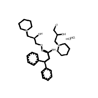 Cl.Cl.NC(CC(c1ccccc1)c1ccccc1)=NOCC(O)CN1CCCCC1.OC(CCl)CN1CCCCC1